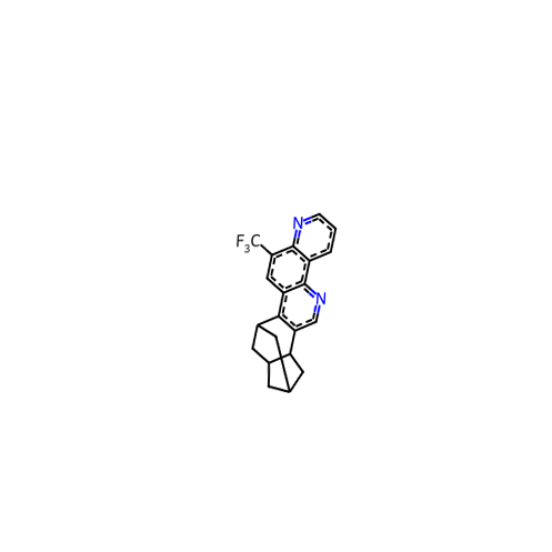 FC(F)(F)c1cc2c3c(cnc2c2cccnc12)C1CC2CC3CC1C2